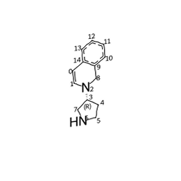 C1=CN([C@@H]2CCNC2)Cc2ccccc21